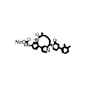 COC(=O)Nc1ccc2c(c1)NC(=O)C(C)CCCC(N1CCC(c3cccc(C)c3C)=CC1=O)c1cc-2ccn1